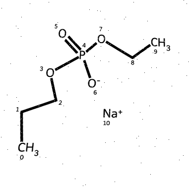 CCCOP(=O)([O-])OCC.[Na+]